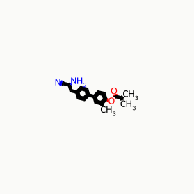 Cc1cc(-c2ccc(CC(N)C#N)cc2)ccc1OC(=O)C(C)C